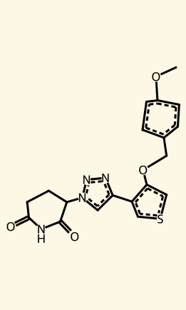 COc1ccc(COc2cscc2-c2cn(C3CCC(=O)NC3=O)nn2)cc1